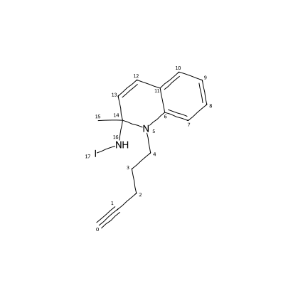 C#CCCCN1c2ccccc2C=CC1(C)NI